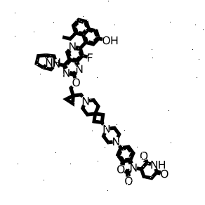 CCc1cccc2cc(O)cc(-c3ncc4c(N5CC6CCC(C5)N6)nc(OCC5(CN6CCC7(CC6)CC(N6CCN(c8ccc9c(c8)oc(=O)n9C8CCC(=O)NC8=O)CC6)C7)CC5)nc4c3F)c12